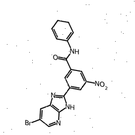 O=C(NC1=CCCC=C1)c1cc(-c2nc3cc(Br)cnc3[nH]2)cc([N+](=O)[O-])c1